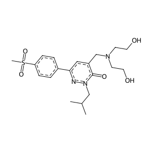 CC(C)Cn1nc(-c2ccc(S(C)(=O)=O)cc2)cc(CN(CCO)CCO)c1=O